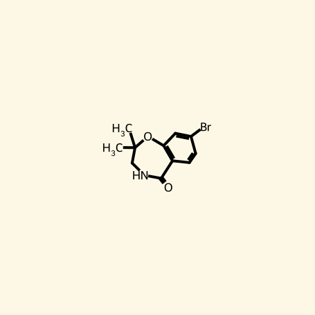 CC1(C)CNC(=O)c2ccc(Br)cc2O1